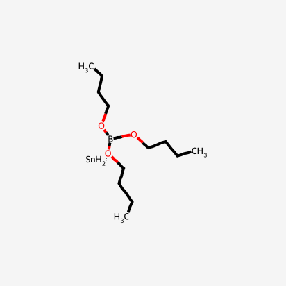 CCCCOB(OCCCC)OCCCC.[SnH2]